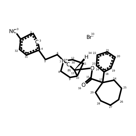 N#Cc1ccc(CC[N+]23CCC(CC2)[C@@H](OC(=O)C2(c4ccccc4)CCCCCC2)C3)cc1.[Br-]